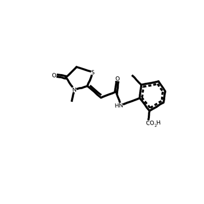 Cc1cccc(C(=O)O)c1NC(=O)/C=C1\SCC(=O)N1C